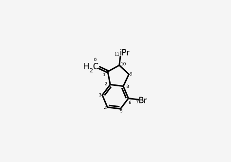 C=C1c2cccc(Br)c2CC1C(C)C